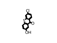 O=c1c2ccc(Cl)cc2sc2ccc(O)cc12